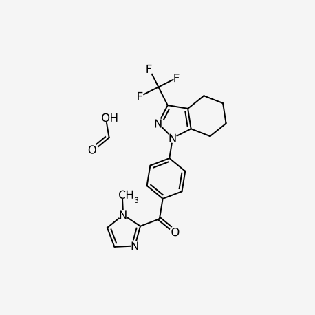 Cn1ccnc1C(=O)c1ccc(-n2nc(C(F)(F)F)c3c2CCCC3)cc1.O=CO